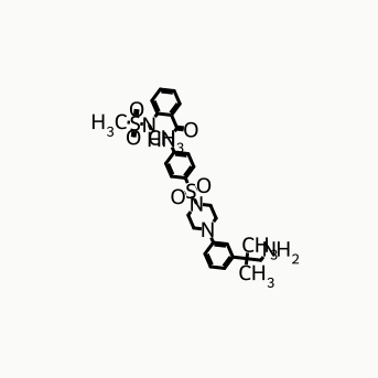 CN(c1ccccc1C(=O)Nc1ccc(S(=O)(=O)N2CCN(c3cccc(C(C)(C)CN)c3)CC2)cc1)S(C)(=O)=O